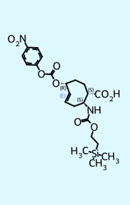 C[Si](C)(C)CCOC(=O)N[C@H]1C/C=C/[C@H](OC(=O)Oc2ccc([N+](=O)[O-])cc2)CC[C@@H]1C(=O)O